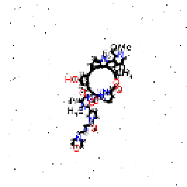 CCn1c(-c2cccnc2COC)c2c3cc(ccc31)-c1cc(O)cc(c1)C[C@H](NC(=O)C(C(C)C)N(C)C(=O)[C@H]1CCN(C(=O)/C=C/CN3CCOCC3)C1)C(=O)N1CCC[C@H](N1)C(=O)OCC(C)(C)C2